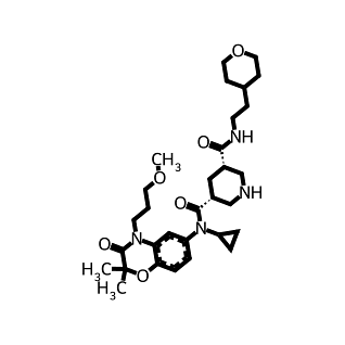 COCCCN1C(=O)C(C)(C)Oc2ccc(N(C(=O)[C@H]3CNC[C@@H](C(=O)NCCC4CCOCC4)C3)C3CC3)cc21